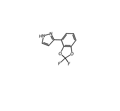 FC1(F)Oc2cccc(-c3cc[nH]n3)c2O1